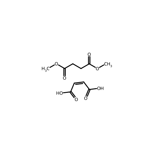 COC(=O)CCC(=O)OC.O=C(O)/C=C\C(=O)O